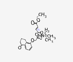 CCOC(=O)/C=C/C(=O)O[C@@H](CNC(C)(C)C)COc1cccc2c1CCCC2=O